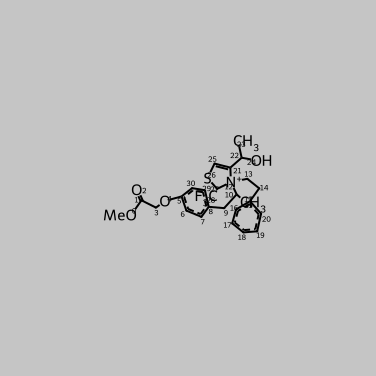 COC(=O)COc1ccc(CC(C)[N+]2(CCc3ccccc3)C(C(C)O)=CSC2C(F)(F)F)cc1